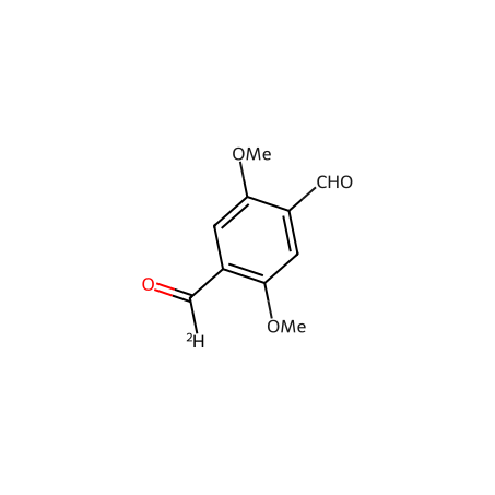 [2H]C(=O)c1cc(OC)c(C=O)cc1OC